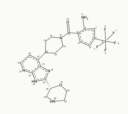 Nc1cc(S(F)(F)(F)(F)F)ccc1C(=O)N1CCC(c2ccnc3[nH]c([C@H]4CNCCO4)nc23)CC1